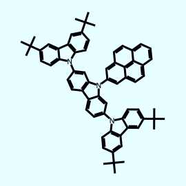 CC(C)(C)c1ccc2c(c1)c1cc(C(C)(C)C)ccc1n2-c1ccc2c3ccc(-n4c5ccc(C(C)(C)C)cc5c5cc(C(C)(C)C)ccc54)cc3n(-c3cc4ccc5cccc6ccc(c3)c4c56)c2c1